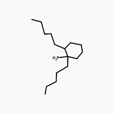 CCCCCC1CCCCC1(P)CCCCC